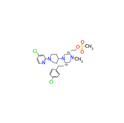 CN1C[C@H](CCc2ccc(Cl)cc2)N(C2CCN(c3cc(Cl)ccn3)CC2)C[C@@H]1CCOS(C)(=O)=O